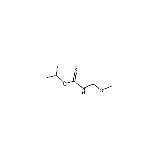 COCNC(=S)OC(C)C